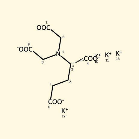 O=C([O-])CC[C@@H](C(=O)[O-])N(CC(=O)[O-])CC(=O)[O-].[K+].[K+].[K+].[K+]